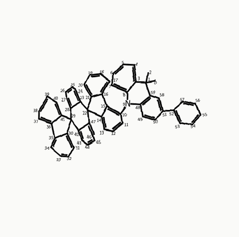 CC1(C)c2ccccc2N(c2cccc3c2-c2ccccc2C32c3ccccc3C3(c4ccccc4-c4ccccc43)c3ccccc32)c2ccc(-c3ccccc3)cc21